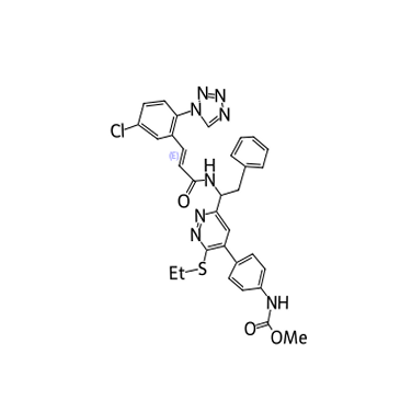 CCSc1nnc(C(Cc2ccccc2)NC(=O)/C=C/c2cc(Cl)ccc2-n2cnnn2)cc1-c1ccc(NC(=O)OC)cc1